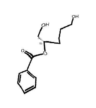 O=C(O[C@H](CO)CCCO)c1ccccc1